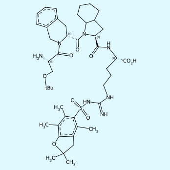 Cc1c(C)c(S(=O)(=O)NC(=N)NCCC[C@H](NC(=O)[C@@H]2CC3CCCCC3N2C(=O)[C@H]2Cc3ccccc3CN2C(=O)[C@@H](N)COC(C)(C)C)C(=O)O)c(C)c2c1OC(C)(C)C2